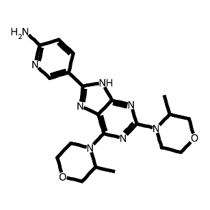 CC1COCCN1c1nc(N2CCOCC2C)c2nc(-c3ccc(N)nc3)[nH]c2n1